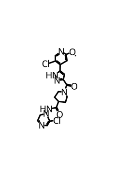 COc1cc(-c2cc(C(=O)N3CCC(C(=O)NN4CC=NC=C4Cl)CC3)n[nH]2)c(Cl)cn1